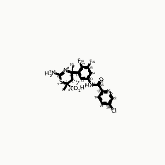 C[C@@H]1[C@@](C)(C(=O)O)SC(N)=N[C@]1(C)c1cc(NC(=O)c2ccc(Cl)cn2)cc(F)c1F